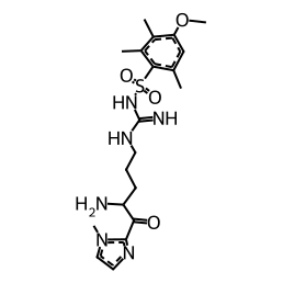 COc1cc(C)c(S(=O)(=O)NC(=N)NCCCC(N)C(=O)c2nccn2C)c(C)c1C